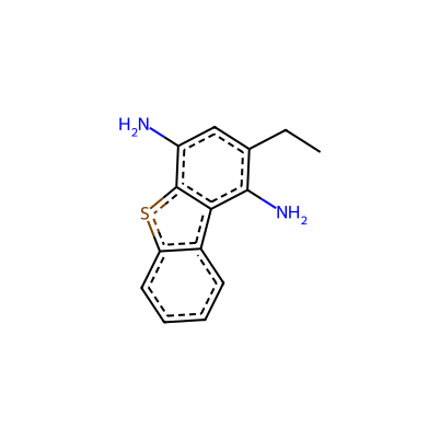 CCc1cc(N)c2sc3ccccc3c2c1N